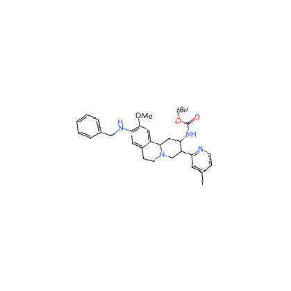 COc1cc2c(cc1NCc1ccccc1)CCN1CC(c3cc(C)ccn3)C(NC(=O)OC(C)(C)C)CC21